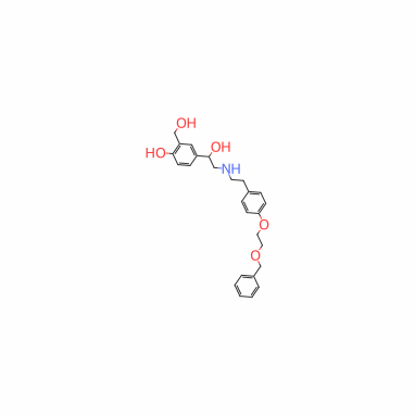 OCc1cc(C(O)CNCCc2ccc(OCCOCc3ccccc3)cc2)ccc1O